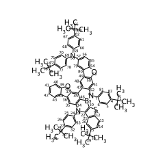 CC(C)(C)c1ccc(N2B3c4sc5ccc(C(C)(C)C)cc5c4N(c4ccc(C(C)(C)C)cc4)c4cc5c(oc6ccccc65)c(c43)-c3cc4c(cc32)oc2ccc(N(c3ccc(C(C)(C)C)cc3)c3ccc(C(C)(C)C)cc3)cc24)cc1